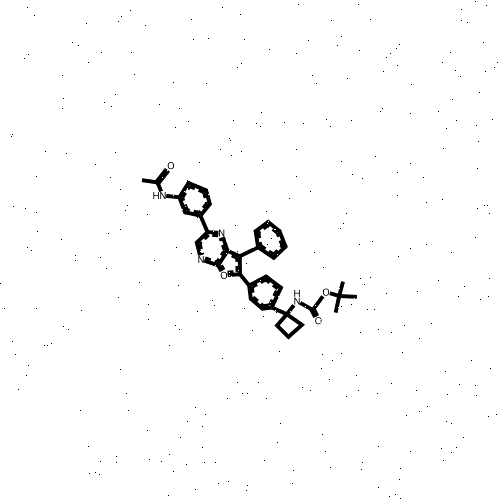 CC(=O)Nc1cccc(-c2cnc3oc(-c4ccc(C5(NC(=O)OC(C)(C)C)CCC5)cc4)c(-c4ccccc4)c3n2)c1